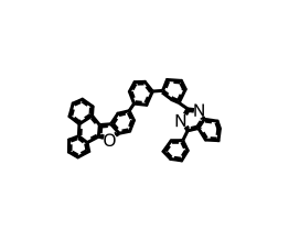 c1ccc(-c2nc(-c3cccc(-c4cccc(-c5ccc6oc7c8ccccc8c8ccccc8c7c6c5)c4)c3)nc3ccccc23)cc1